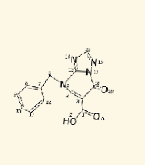 O=C(O)c1cn(Cc2ccccc2)c2ncnn2c1=O